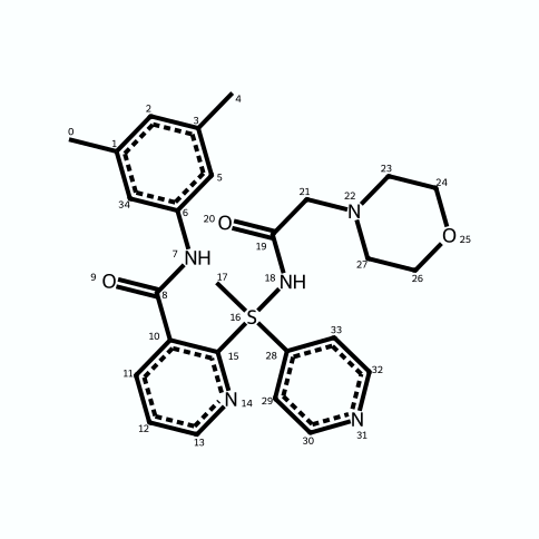 Cc1cc(C)cc(NC(=O)c2cccnc2S(C)(NC(=O)CN2CCOCC2)c2ccncc2)c1